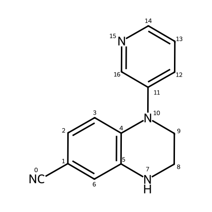 N#Cc1ccc2c(c1)NCCN2c1cccnc1